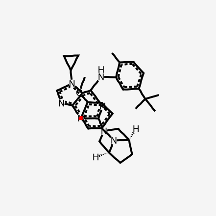 COc1ccc(N2[C@@H]3CC[C@H]2CN(c2nc(Nc4cc(C(C)(C)C)ccc4C)c4c(ncn4C4CC4)n2)C3)cc1